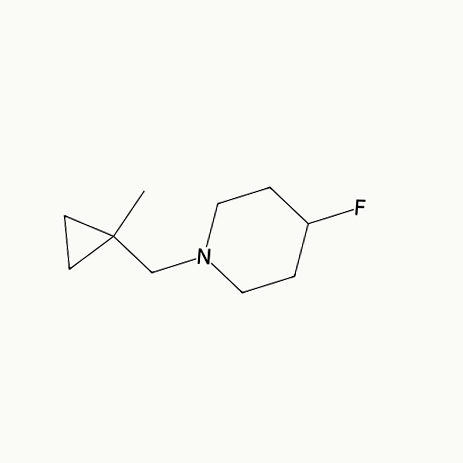 CC1(CN2CCC(F)CC2)CC1